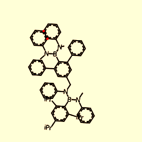 CC(C)c1cc(C(C)C)c(B(N(C)c2ccccc2)N(Cc2cc(-c3ccccc3)c(B(N(C)c3ccccc3)N(C)c3ccccc3)c(-c3ccccc3)c2)c2ccccc2)c(C(C)C)c1